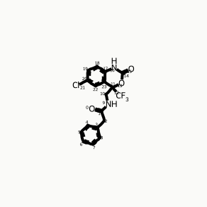 O=C(Cc1ccccc1)NCC1(C(F)(F)F)OC(=O)Nc2ccc(Cl)cc21